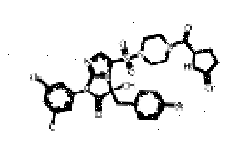 C[C@@]1(Cc2ccc(Br)cc2)C(=O)N(c2cc(Cl)cc(Cl)c2)c2ncc(S(=O)(=O)N3CCN(C(=O)C4CCC(=O)N4)CC3)n21